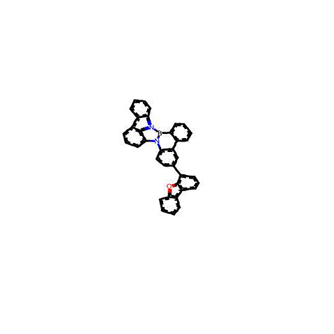 c1ccc2c(c1)B1N(c3ccc(-c4cccc5c4oc4ccccc45)cc3-2)c2cccc3c4ccccc4n1c23